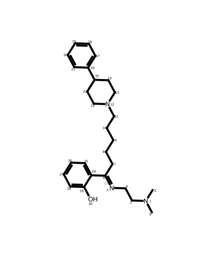 CN(C)CC/N=C(\CCCCCN1CCC(c2ccccc2)CC1)c1ccccc1O